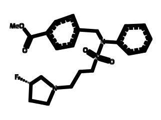 COC(=O)c1ccc(CN(c2ccccc2)S(=O)(=O)CCCN2CC[C@H](F)C2)cc1